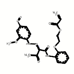 C=CC(=O)OCCOc1ccccc1NC(=O)/C(=N/Nc1ccc(N=O)cc1OC)C(C)=O